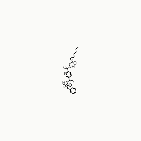 CCCCCOC(=O)CNC(=O)c1ccc(C(=O)NS(=O)(=O)Cc2ccccc2)cn1